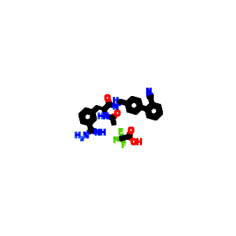 CC(=O)N[C@@H](Cc1cccc(C(=N)N)c1)C(=O)NCc1ccc(-c2ccccc2C#N)cc1.O=C(O)C(F)(F)F